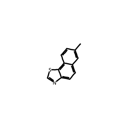 Cc1ccc2c(ccc3ncsc32)c1